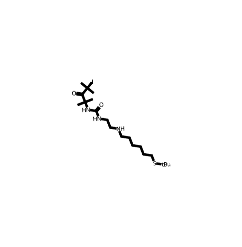 CC(C)(C)SCCCCCCNCCNC(=O)NC(C)(C)C(=O)C(C)(C)I